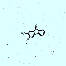 Cc1cc2c(cc1N)-c1ccccc1C2=O